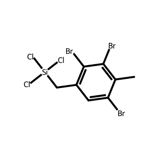 Cc1c(Br)cc(C[Si](Cl)(Cl)Cl)c(Br)c1Br